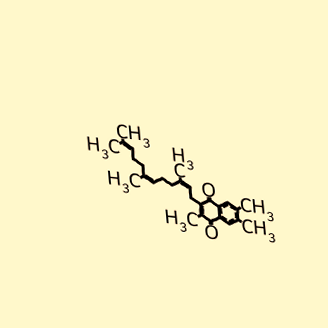 CC(C)=CCCC(C)=CCCC(C)=CCC1=C(C)C(=O)c2cc(C)c(C)cc2C1=O